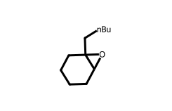 CCCCCC12CCCCC1O2